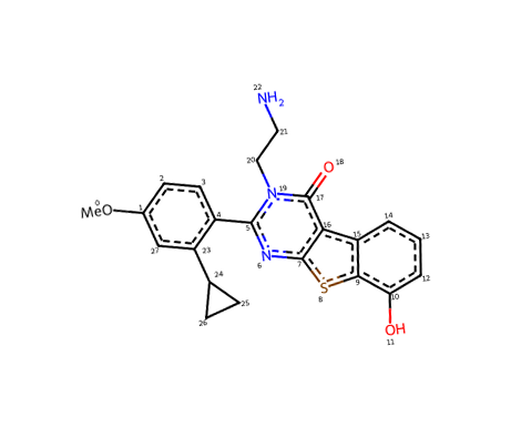 COc1ccc(-c2nc3sc4c(O)cccc4c3c(=O)n2CCN)c(C2CC2)c1